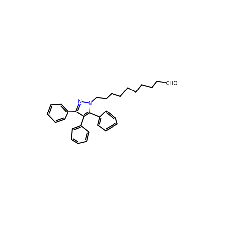 O=CCCCCCCCCCn1nc(-c2ccccc2)c(-c2ccccc2)c1-c1ccccc1